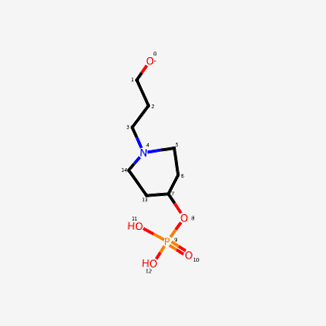 [O]CCCN1CCC(OP(=O)(O)O)CC1